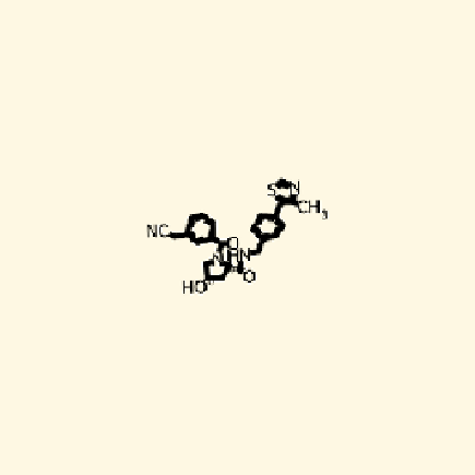 Cc1ncsc1-c1ccc(CNC(=O)[C@@H]2C[C@@H](O)CN2C(O)c2cccc(CC#N)c2)cc1